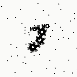 O=Nc1ccc(N2CCN(Cc3ccccc3)CC2)nc1CS